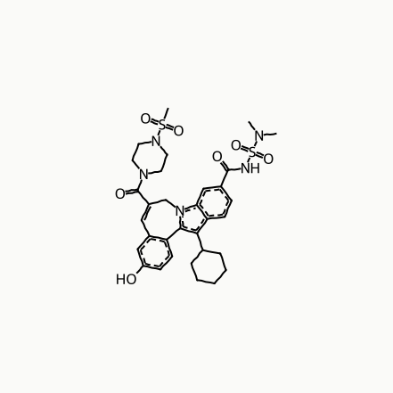 CN(C)S(=O)(=O)NC(=O)c1ccc2c(C3CCCCC3)c3n(c2c1)CC(C(=O)N1CCN(S(C)(=O)=O)CC1)=Cc1cc(O)ccc1-3